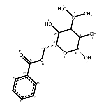 CN(C)C1C(O)[C@H](O)O[C@H](COC(=O)c2ccccc2)C1O